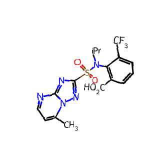 Cc1ccnc2nc(S(=O)(=O)N(c3c(C(=O)O)cccc3C(F)(F)F)C(C)C)nn12